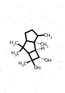 CC1CCC2C(C)(C)C3[C@H]([C@H](O)[C@]3(C)O)[C@]12C